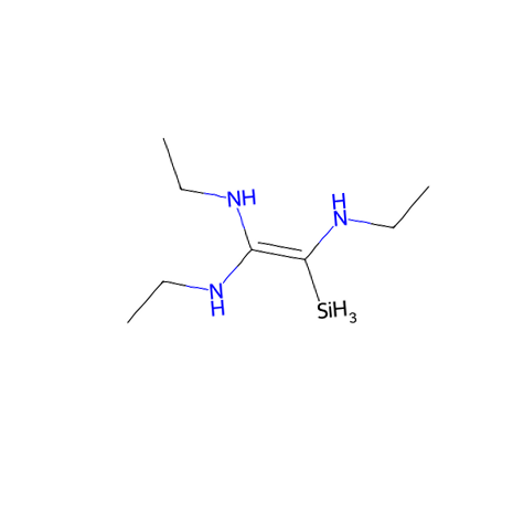 CCNC([SiH3])=C(NCC)NCC